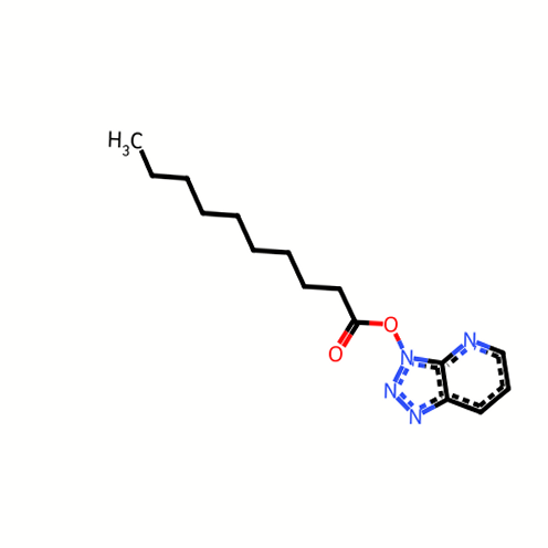 CCCCCCCCCC(=O)On1nnc2cccnc21